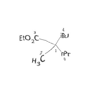 CCCC(C)(C(=O)OCC)C(C)CC